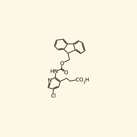 O=C(O)CCc1cc(Cl)cnc1NC(=O)OCC1c2ccccc2-c2ccccc21